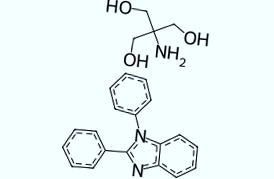 NC(CO)(CO)CO.c1ccc(-c2nc3ccccc3n2-c2ccccc2)cc1